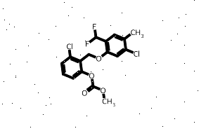 COC(=O)Oc1cccc(Cl)c1COc1cc(Cl)c(C)cc1C(F)F